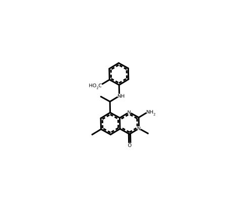 Cc1cc(C(C)Nc2ccccc2C(=O)O)c2nc(N)n(C)c(=O)c2c1